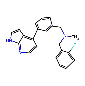 CN(Cc1cccc(-c2ccnc3[nH]ccc23)c1)Cc1ccccc1F